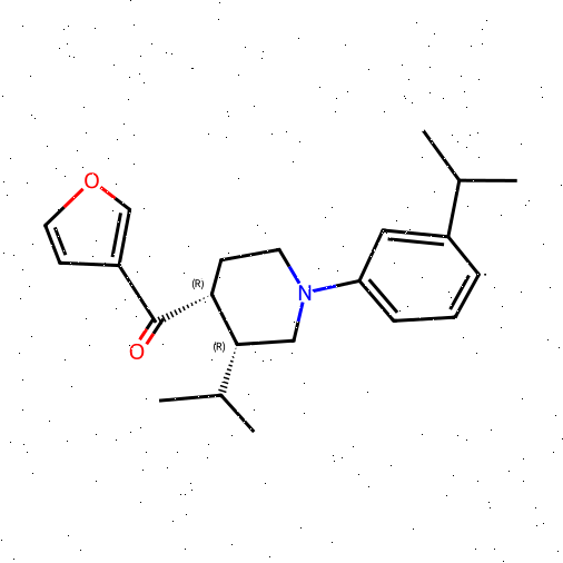 CC(C)c1[c]ccc(N2CC[C@@H](C(=O)c3ccoc3)[C@@H](C(C)C)C2)c1